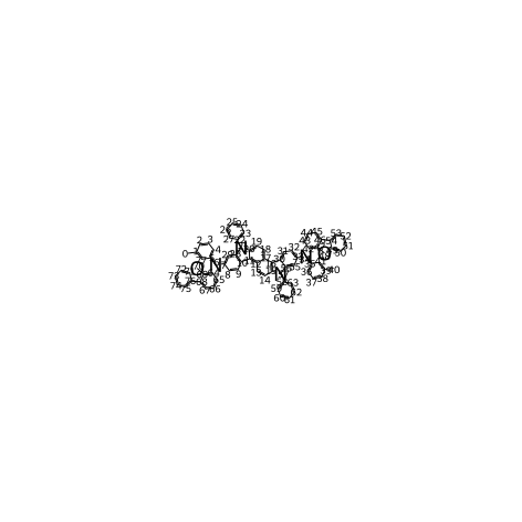 Cc1cccc(N(c2ccc3c4c5ccc6c(c5ccc4n(-c4ccccc4)c3c2)c2ccc(N(c3cccc(C)c3)c3cccc4c3oc3ccccc34)cc2n6-c2ccccc2)c2cccc3c2oc2ccccc23)c1